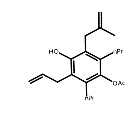 C=CCc1c(O)c(CC(=C)C)c(CCC)c(OC(C)=O)c1CCC